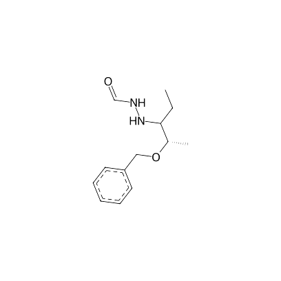 CCC(NNC=O)[C@H](C)OCc1ccccc1